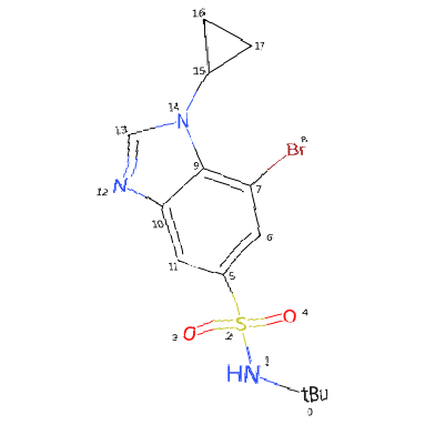 CC(C)(C)NS(=O)(=O)c1cc(Br)c2c(c1)ncn2C1CC1